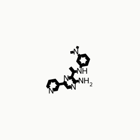 C=C(Nc1cccc(N(C)C)c1)c1nc(-c2cccnc2)cnc1N